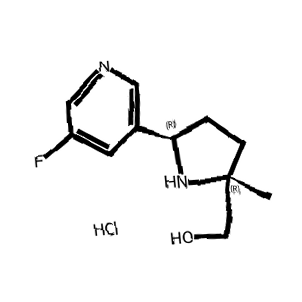 C[C@]1(CO)CC[C@H](c2cncc(F)c2)N1.Cl